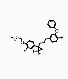 CCOc1ccc(C2(CCCc3ccc(F)c(Oc4ccccc4)c3)CC2(F)F)cc1F